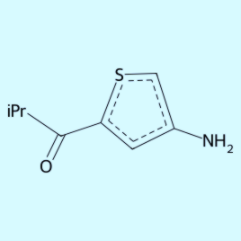 CC(C)C(=O)c1cc(N)cs1